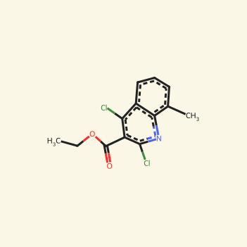 CCOC(=O)c1c(Cl)nc2c(C)cccc2c1Cl